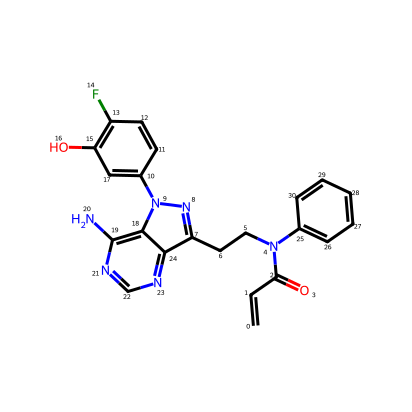 C=CC(=O)N(CCc1nn(-c2ccc(F)c(O)c2)c2c(N)ncnc12)c1ccccc1